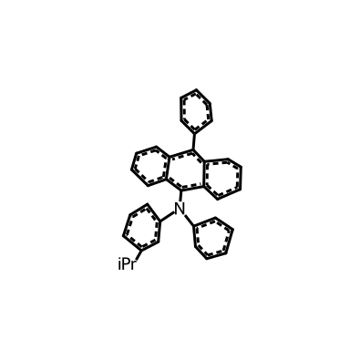 CC(C)c1cccc(N(c2ccccc2)c2c3ccccc3c(-c3ccccc3)c3ccccc23)c1